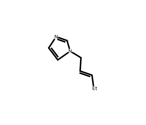 CC/C=C/Cn1[c]ncc1